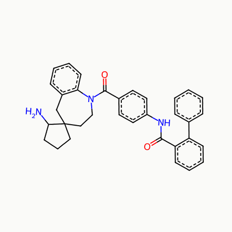 NC1CCCC12CCN(C(=O)c1ccc(NC(=O)c3ccccc3-c3ccccc3)cc1)c1ccccc1C2